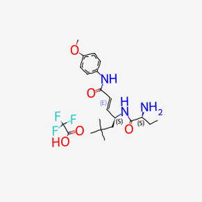 CC[C@H](N)C(=O)N[C@H](/C=C/C(=O)Nc1ccc(OC)cc1)CC(C)(C)C.O=C(O)C(F)(F)F